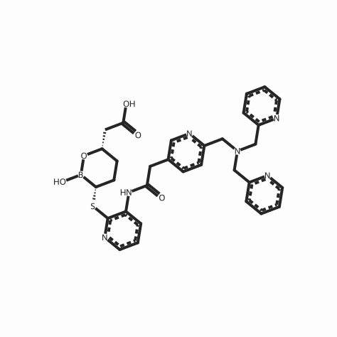 O=C(O)C[C@@H]1CC[C@H](Sc2ncccc2NC(=O)Cc2ccc(CN(Cc3ccccn3)Cc3ccccn3)nc2)B(O)O1